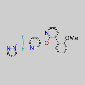 COc1ccccc1-c1cccnc1Oc1ccc(C(F)(F)Cn2cccn2)nc1